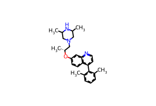 Cc1cccc(C)c1-c1ccnc2cc(O[C@H](C)CN3CC(C)NC(C)C3)ccc12